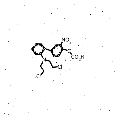 O=C(O)Oc1ccc(-c2ccccc2N(CCCl)CCCl)cc1[N+](=O)[O-]